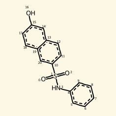 O=S(=O)(Nc1ccccc1)c1ccc2cc(O)ccc2c1